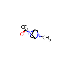 CN1CC2CC1CN2C(=O)C(F)(F)F